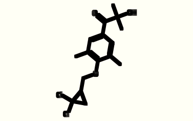 Cc1cc(C(=O)C(C)(C)O)cc(C)c1OCC1CC1(Cl)Cl